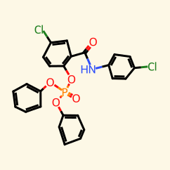 O=C(Nc1ccc(Cl)cc1)c1cc(Cl)ccc1OP(=O)(Oc1ccccc1)Oc1ccccc1